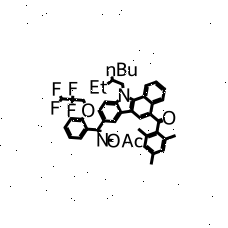 CCCCC(CC)Cn1c2ccc(/C(=N\OC(C)=O)c3ccccc3OCC(F)(F)C(F)F)cc2c2cc(C(=O)c3c(C)cc(C)cc3C)c3ccccc3c21